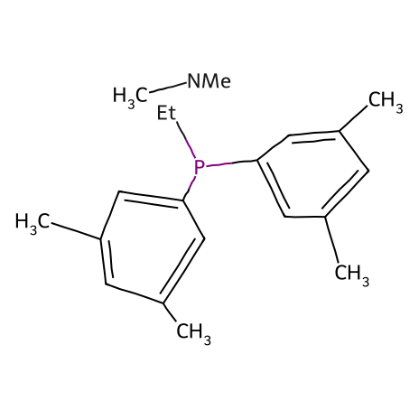 CCP(c1cc(C)cc(C)c1)c1cc(C)cc(C)c1.CNC